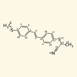 CSc1ccc(/C=C/c2ccc(SC(C)C#N)cc2)cc1